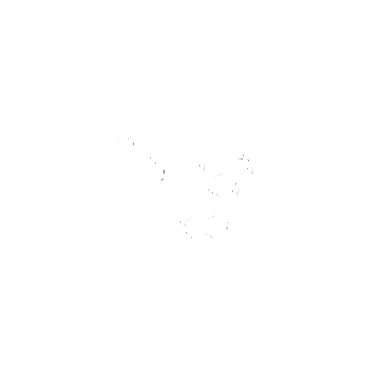 Cn1ncc2c(NCCC(=O)N3CCNCC3)nc(-c3cccc4[nH]ncc34)nc21